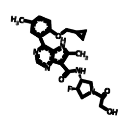 Cc1ccc(OCC2CC2)c(-c2ncnc3c(C(=O)N[C@@H]4CN(C(=O)CO)C[C@H]4F)c(C)[nH]c23)c1